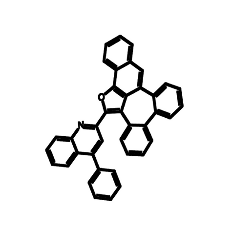 c1ccc(-c2cc(-c3oc4c5c(cc6ccccc64)-c4ccccc4-c4ccccc4-c35)nc3ccccc23)cc1